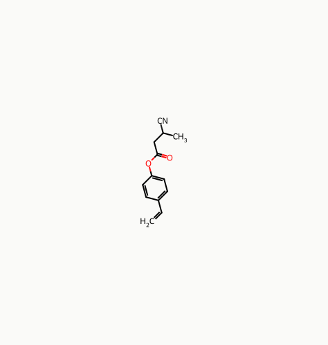 C=Cc1ccc(OC(=O)CC(C)C#N)cc1